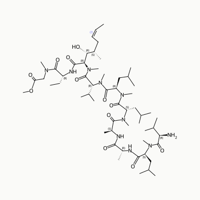 C/C=C\C[C@H](C)[C@@H](O)[C@H](C(=O)N[C@H](CC)C(=O)N(C)CC(=O)OC)N(C)C(=O)[C@@H](C(C)C)N(C)C(=O)[C@@H](CC(C)C)N(C)C(=O)[C@H](CC(C)C)N(C)C(=O)[C@H](C)NC(=O)[C@@H](C)NC(=O)[C@H](CC(C)C)N(C)C(=O)[C@H](N)C(C)C